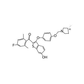 Cc1cc(F)cc(C)c1C(=O)c1sc2cc(O)ccc2c1Oc1ccc(OCN2CC[C@@H](C)C2)cc1